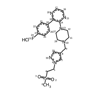 CS(=O)(=O)CCn1cc(CN2CCN(c3nccnc3-c3ccc(F)cc3)CC2)cn1.Cl